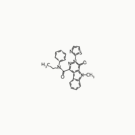 CCN(C(=O)c1nn(-c2nccs2)c(=O)c2c1c1ccccc1n2C)c1ccccc1